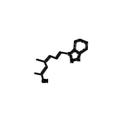 CC(=C/C=C/n1nnc2ccccc21)/C=C(\C)O